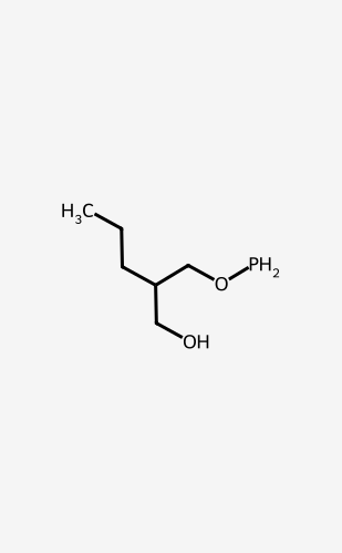 CCCC(CO)COP